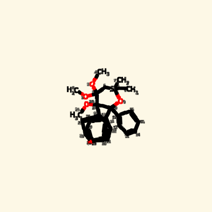 COC1(OC)C[Si](C)(C)OC(c2ccccc2)(c2ccccc2)C1(OC)c1ccccc1